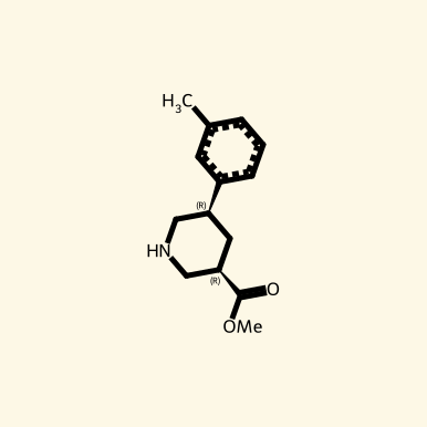 COC(=O)[C@H]1CNC[C@@H](c2cccc(C)c2)C1